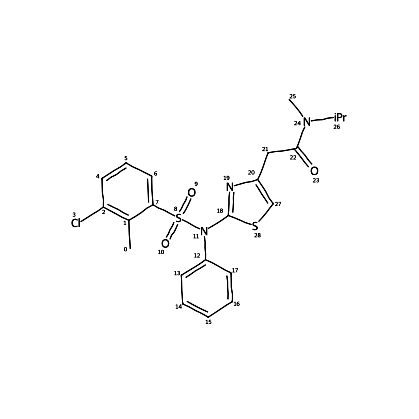 Cc1c(Cl)cccc1S(=O)(=O)N(c1ccccc1)c1nc(CC(=O)N(C)C(C)C)cs1